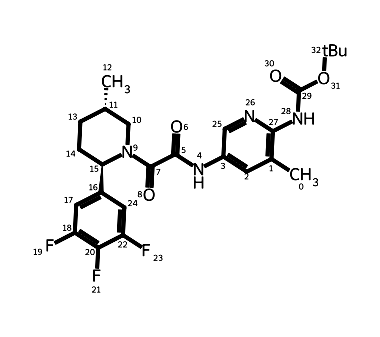 Cc1cc(NC(=O)C(=O)N2C[C@@H](C)CC[C@@H]2c2cc(F)c(F)c(F)c2)cnc1NC(=O)OC(C)(C)C